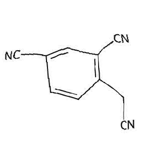 N#CCc1ccc(C#N)cc1C#N